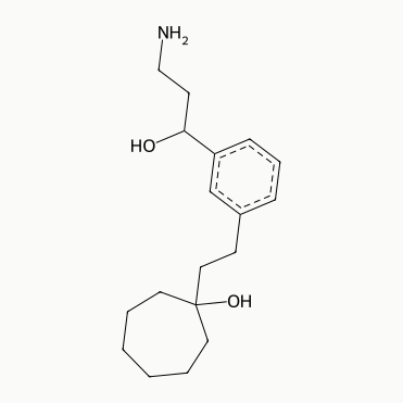 NCCC(O)c1cccc(CCC2(O)CCCCCC2)c1